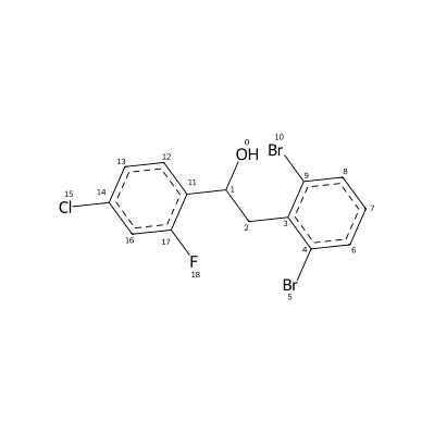 OC(Cc1c(Br)cccc1Br)c1ccc(Cl)cc1F